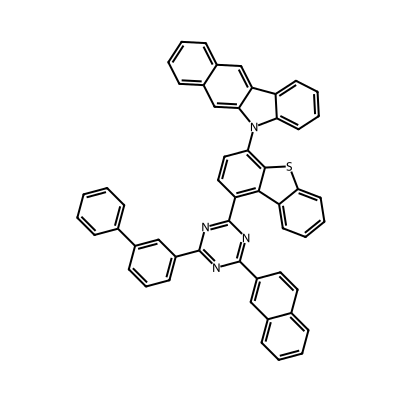 c1ccc(-c2cccc(-c3nc(-c4ccc5ccccc5c4)nc(-c4ccc(-n5c6ccccc6c6cc7ccccc7cc65)c5sc6ccccc6c45)n3)c2)cc1